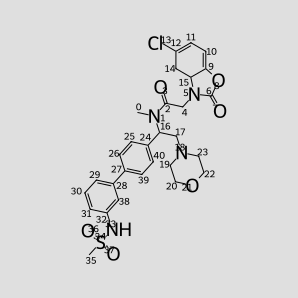 CN(C(=O)CN1C(=O)OC2=CC=C(Cl)CC21)C(CN1CCOCC1)c1ccc(-c2cccc(NS(C)(=O)=O)c2)cc1